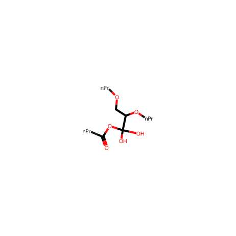 CCCOCC(OCCC)C(O)(O)OC(=O)CCC